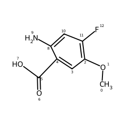 COc1cc(C(=O)O)c(N)cc1F